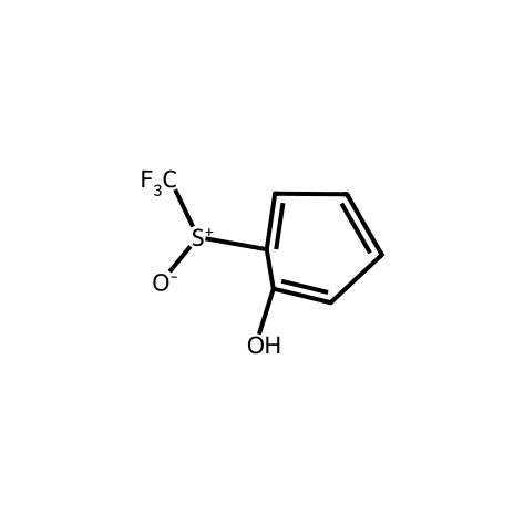 [O-][S+](c1ccccc1O)C(F)(F)F